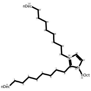 CCCCCCCCCCCCCCCCCCc1n(CCCCCCCC)cc[n+]1CCCCCCCCCCCCCCCCCC